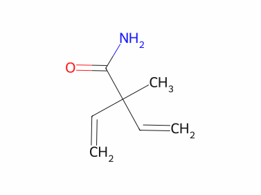 C=CC(C)(C=C)C(N)=O